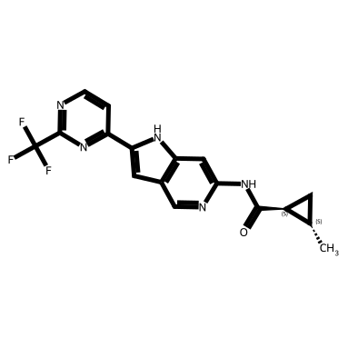 C[C@H]1C[C@@H]1C(=O)Nc1cc2[nH]c(-c3ccnc(C(F)(F)F)n3)cc2cn1